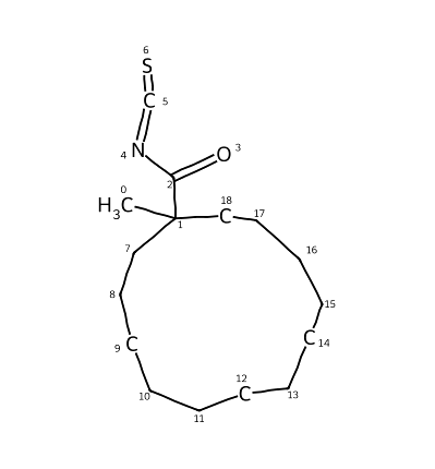 CC1(C(=O)N=C=S)CCCCCCCCCCCC1